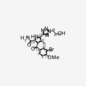 COc1ccc(C(=O)c2c(C(N)=O)[nH]c(-c3nnn(CCO)n3)c2C)cc1Br